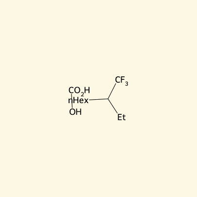 CCCCCCC(CC)C(F)(F)F.O=C(O)O